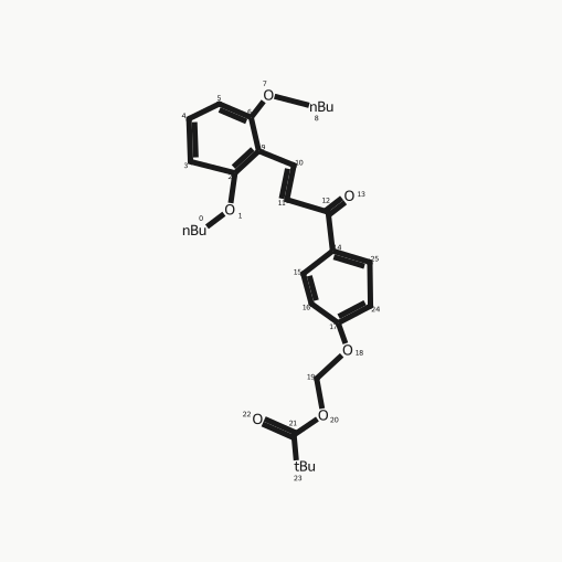 CCCCOc1cccc(OCCCC)c1C=CC(=O)c1ccc(OCOC(=O)C(C)(C)C)cc1